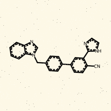 N#Cc1ccc(-c2ccc(Cn3cnc4ccccc43)cc2)cc1-c1ncc[nH]1